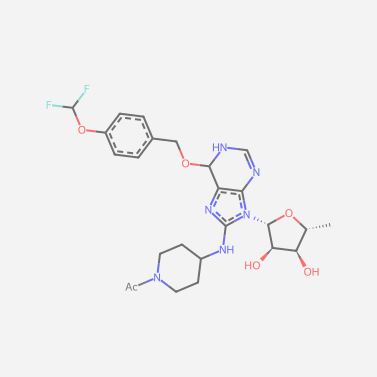 CC(=O)N1CCC(Nc2nc3c(n2[C@@H]2O[C@H](C)[C@@H](O)[C@H]2O)N=CNC3OCc2ccc(OC(F)F)cc2)CC1